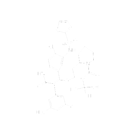 Cc1cc(C)cc(-c2c(OCCC3CCCCN3C(=O)OC(C)(C)C)c3cc(NS(=O)(=O)c4cccs4)c(Cl)cc3[nH]c2=O)c1